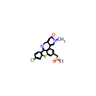 CC[S+]([O-])Cc1ccc2c(c1)-c1cn(C)c(=O)cc1CN=C2c1ccc(Cl)cc1F